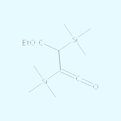 CCOC(=O)C(C(=C=O)[Si](C)(C)C)[Si](C)(C)C